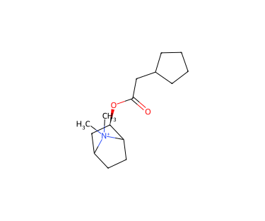 C[N+]1(C)C2CCC1[C@H](OC(=O)CC1CCCC1)C2